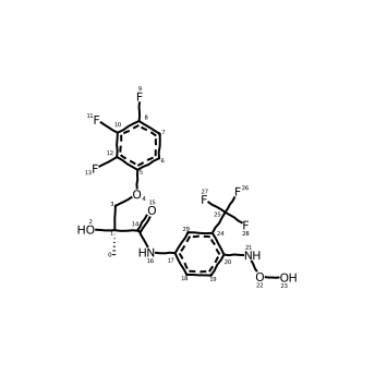 C[C@](O)(COc1ccc(F)c(F)c1F)C(=O)Nc1ccc(NOO)c(C(F)(F)F)c1